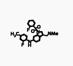 CNCc1cn(S(=O)(=O)c2ccccc2F)c2cc(Nc3ccc(C)cc3F)ccc12